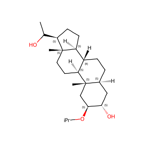 CC(C)O[C@H]1C[C@@]2(C)[C@@H](CC[C@@H]3[C@@H]2CC[C@]2(C)[C@@H](C(C)O)CC[C@@H]32)C[C@@H]1O